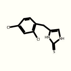 S=c1[nH]cc(Cc2ccc(Cl)cc2Cl)[nH]1